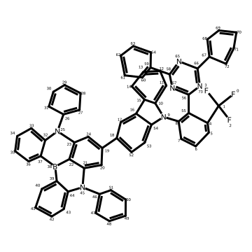 FC(F)(F)c1cccc(-n2c3ccccc3c3cc(-c4cc5c6c(c4)N(c4ccccc4)c4ccccc4B6c4ccccc4N5c4ccccc4)ccc32)c1-c1nc(-c2ccccc2)nc(-c2ccccc2)n1